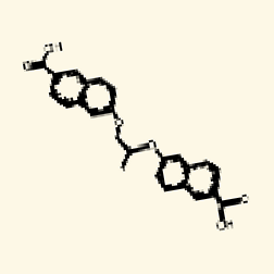 CC(COc1ccc2cc(C(=O)O)ccc2c1)Oc1ccc2cc(C(=O)O)ccc2c1